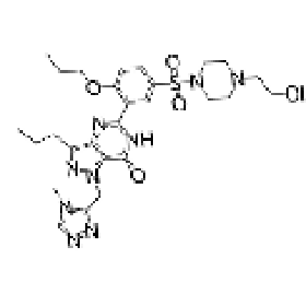 CCCOc1ccc(S(=O)(=O)N2CCN(CCO)CC2)cc1-c1nc2c(CCC)nn(Cc3nncn3C)c2c(=O)[nH]1